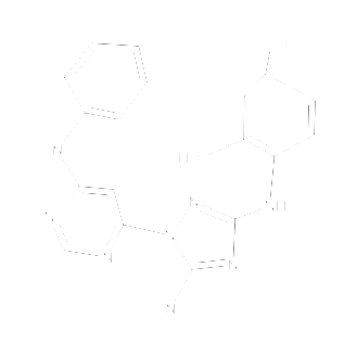 Cc1ccc(Nc2nc(N)n(-c3cc(Nc4ccccc4)ncn3)n2)c(C)c1